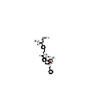 CON/C=C(\C(N)=O)c1ccc(CCNC(=O)c2ccc3c(c2O)[C@]24CCN(CCc5ccccc5)[C@H](C3)[C@]2(O)CCC(=O)C4)cc1